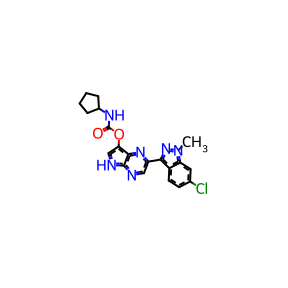 Cn1nc(-c2cnc3[nH]cc(OC(=O)NC4CCCC4)c3n2)c2ccc(Cl)cc21